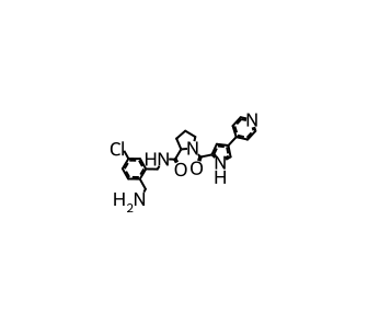 NCc1ccc(Cl)cc1CNC(=O)C1CCCN1C(=O)c1cc(-c2ccncc2)c[nH]1